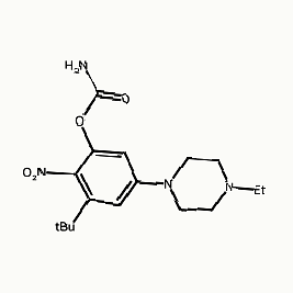 CCN1CCN(c2cc(OC(N)=O)c([N+](=O)[O-])c(C(C)(C)C)c2)CC1